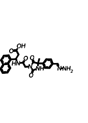 CC1(c2ccc(C=NN)cc2)NC(=O)N(CC(=O)NC(CC(=O)O)c2cccc3ccccc23)C1=O